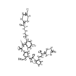 COc1cc(C(=O)N(C)c2ccc(C)cc2OCCCCCC(=O)N2CCN(C)CC2)ccc1NC(=O)c1ccccc1/C=C/C(=O)N1CCN(C)CC1